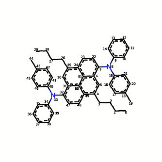 CCCCc1cc2c(N(c3ccccc3)c3ccc(C)cc3)ccc3c(CCCC)cc4c(N(c5ccccc5)c5ccc(C)cc5)ccc1c4c32